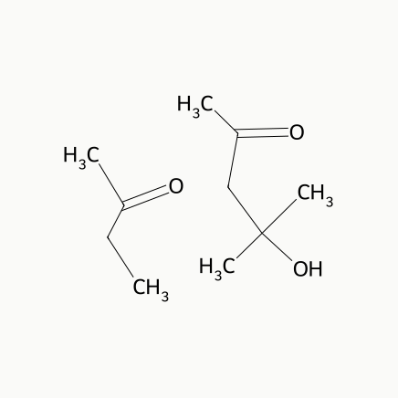 CC(=O)CC(C)(C)O.CCC(C)=O